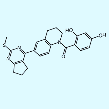 CSc1nc2c(c(-c3ccc4c(c3)CCCN4C(=O)c3ccc(O)cc3O)n1)CCC2